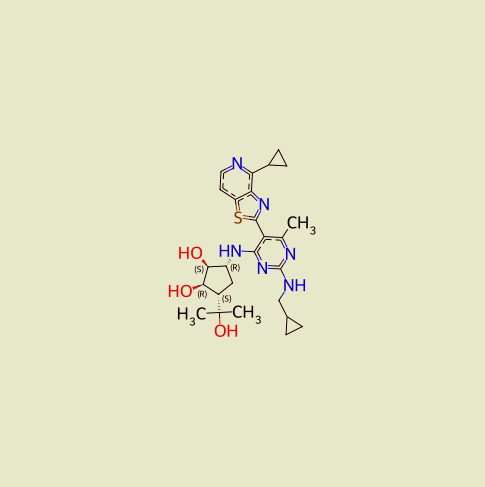 Cc1nc(NCC2CC2)nc(N[C@@H]2C[C@H](C(C)(C)O)[C@@H](O)[C@H]2O)c1-c1nc2c(C3CC3)nccc2s1